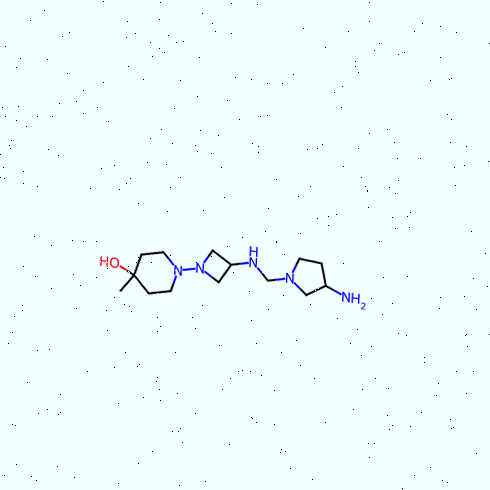 CC1(O)CCN(N2CC(NCN3CCC(N)C3)C2)CC1